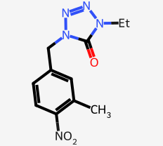 CCn1nnn(Cc2ccc([N+](=O)[O-])c(C)c2)c1=O